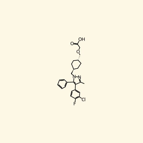 Cc1nn(C[C@H]2CC[C@H](COCC(=O)O)CC2)c(-c2ccccc2)c1-c1ccc(F)c(Cl)c1